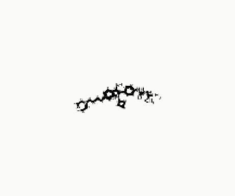 CC(C)NC(=O)Nc1ccc(-c2c(N)c3ccc(CCCCN4CCOCC4)cc3n2C2CCC2)cc1